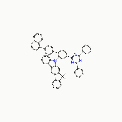 CC1(C)c2ccccc2-c2cc3c4ccccc4n(-c4cc(-c5nc(-c6ccccc6)nc(-c6ccccc6)n5)ccc4-c4ccc(-c5cccc6ccccc56)cc4)c3cc21